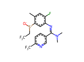 Cc1cc(F)c(/N=C(\c2ccc(C(F)(F)F)nc2)N(C)C)cc1[S+]([O-])CC(F)(F)F